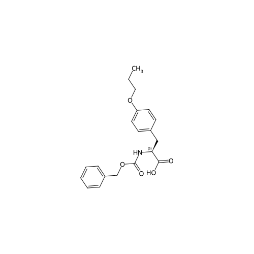 CCCOc1ccc(C[C@H](NC(=O)OCc2ccccc2)C(=O)O)cc1